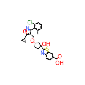 Cc1cccc(Cl)c1-c1noc(C2CC2)c1COC1CCC(O)(c2nc3ccc(C(=O)O)cc3s2)C1